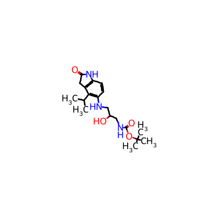 CC(C)c1c(NCC(O)CNC(=O)OC(C)(C)C)ccc2c1CC(=O)N2